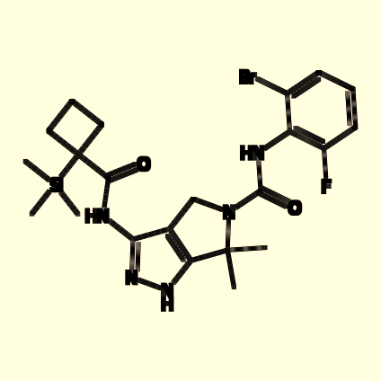 CC1(C)c2[nH]nc(NC(=O)C3([Si](C)(C)C)CCC3)c2CN1C(=O)Nc1c(F)cccc1Br